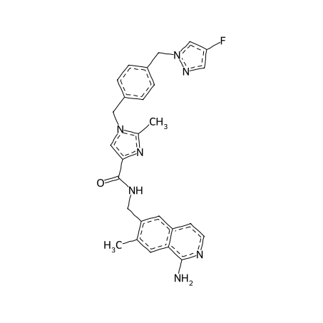 Cc1cc2c(N)nccc2cc1CNC(=O)c1cn(Cc2ccc(Cn3cc(F)cn3)cc2)c(C)n1